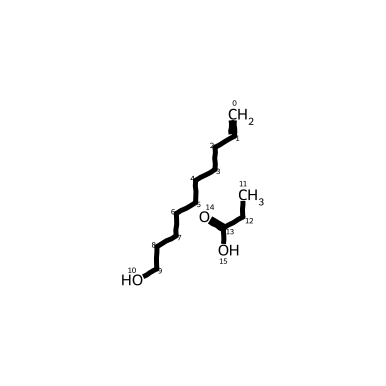 C=CCCCCCCCCO.CCC(=O)O